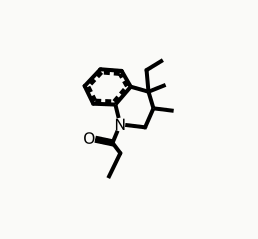 CCC(=O)N1CC(C)C(C)(CC)c2ccccc21